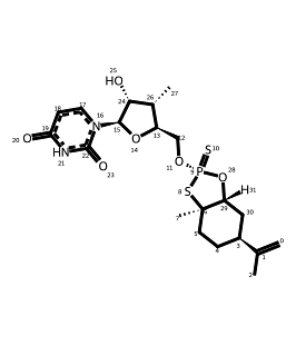 C=C(C)[C@H]1CC[C@@]2(C)S[P@](=S)(OC[C@H]3O[C@@H](n4ccc(=O)[nH]c4=O)[C@H](O)[C@@H]3C)O[C@@H]2C1